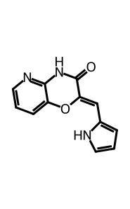 O=C1Nc2ncccc2OC1=Cc1ccc[nH]1